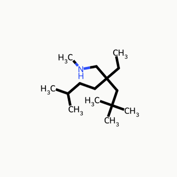 CCC(CCC(C)C)(CNC)CC(C)(C)C